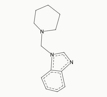 c1ccc2c(c1)ncn2CN1CCCCC1